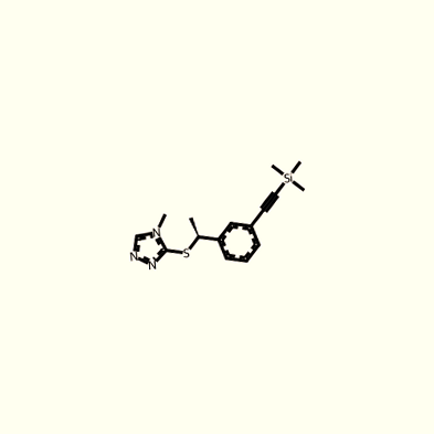 C[C@H](Sc1nncn1C)c1cccc(C#C[Si](C)(C)C)c1